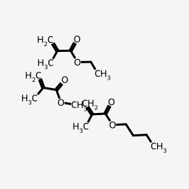 C=C(C)C(=O)OC.C=C(C)C(=O)OCC.C=C(C)C(=O)OCCCC